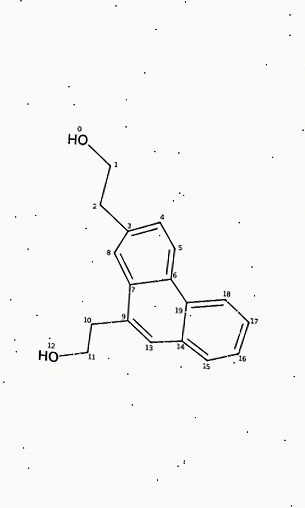 OCCc1ccc2c(c1)c(CCO)cc1ccccc12